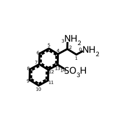 NCC(N)c1ccc2ccccc2c1S(=O)(=O)O